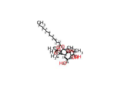 CCCCCCCCCCCCCC(=O)OC1C(C)C2(O)C(C=C(CO)CC3(O)C(O)C(C)=CC32)C2C(C)(C)C12OC(C)=O